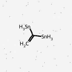 C=[C]([SnH3])[SnH3]